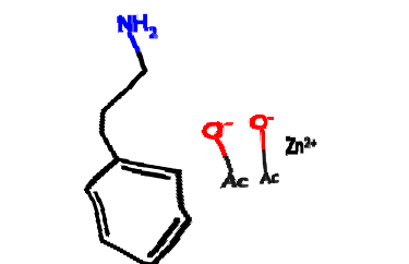 CC(=O)[O-].CC(=O)[O-].NCCc1ccccc1.[Zn+2]